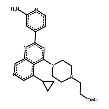 COCCN1CCN(c2nc(-c3ccnc(N)c3)nc3cncc(C4CC4)c23)CC1